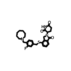 O=C1CCC(N2Cc3c(SCc4ccc(CN5CCCCCCC5)c(F)c4)cccc3C2=O)C(=O)N1